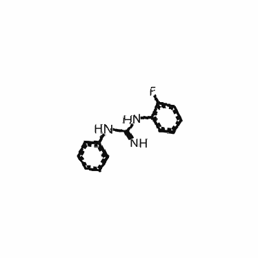 N=C(Nc1ccccc1)Nc1ccccc1F